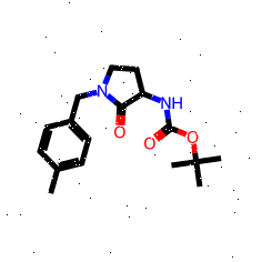 Cc1ccc(CN2CCC(NC(=O)OC(C)(C)C)C2=O)cc1